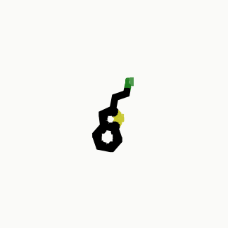 ClCCc1cc2ccccc2s1